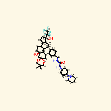 CC1(C)COC2(CCC3=C4C(CCC3(O)C2)C2CC[C@@](O)(C(F)(F)C(F)(F)F)[C@@]2(C)C[C@@H]4c2ccc(CNC(=O)Nc3ccc(N4CCCCC4)cc3)cc2)OC1